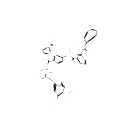 CCOc1cc(C2=NN(C(=O)c3ccc(NC(=O)c4cccc(NC(=O)c5ccccc5)c4)cc3)CCC2)ccc1OC.O=C(Cl)c1ccccc1